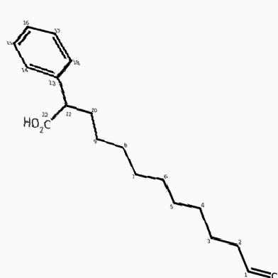 C=CCCCCCCCCCC(C(=O)O)c1ccccc1